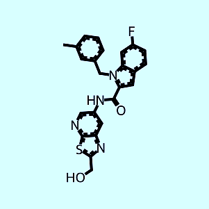 Cc1cccc(Cn2c(C(=O)Nc3cnc4sc(CO)nc4c3)cc3ccc(F)cc32)c1